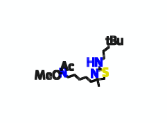 CON(CCCCCC1(C)CSC(NCCCC(C)(C)C)=N1)C(C)=O